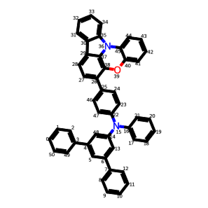 c1ccc(-c2cc(-c3ccccc3)cc(N(c3ccccc3)c3ccc(-c4ccc5c6ccccc6n6c5c4Oc4ccccc4-6)cc3)c2)cc1